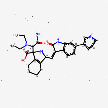 CCN(CC)C(C(N)=O)C1(C(=O)O)NC(C=C2C(=O)Nc3cc(-c4cccnc4)ccc32)C2=C1CCCC2